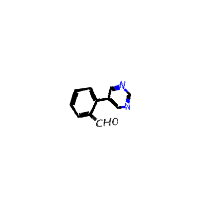 O=Cc1ccccc1-c1cncnc1